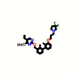 C=Cc1cnc(OCc2cccc(-c3cccc(OCCCN4CCC(F)(F)C4)c3C)c2C)nc1OC